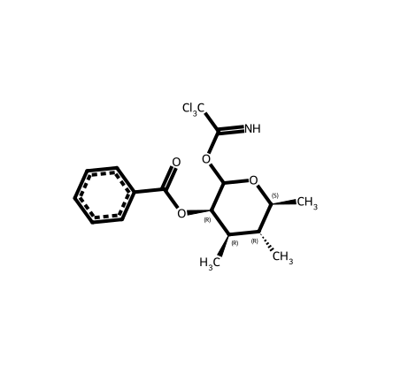 C[C@@H]1[C@@H](C)[C@@H](OC(=O)c2ccccc2)C(OC(=N)C(Cl)(Cl)Cl)O[C@H]1C